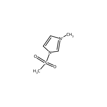 C[n+]1ccn(S(C)(=O)=O)c1